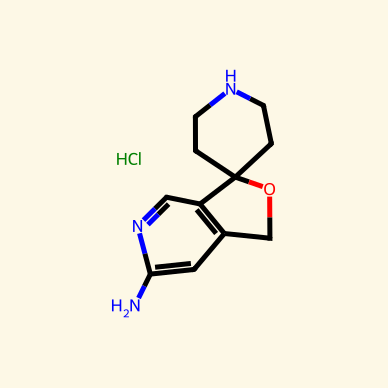 Cl.Nc1cc2c(cn1)C1(CCNCC1)OC2